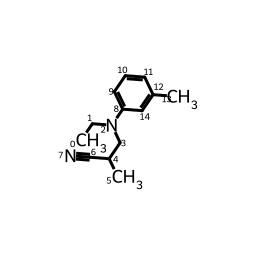 CCN(CC(C)C#N)c1cccc(C)c1